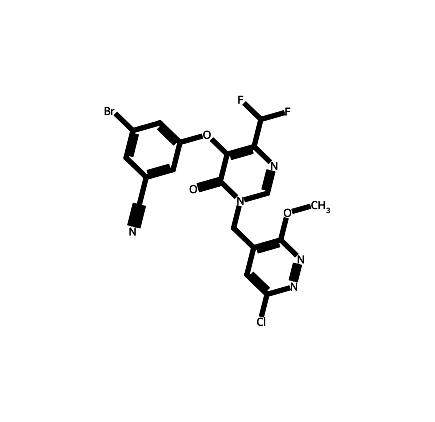 COc1nnc(Cl)cc1Cn1cnc(C(F)F)c(Oc2cc(Br)cc(C#N)c2)c1=O